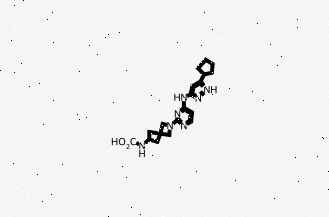 O=C(O)NC1CC2(C1)CN(c1nccc(Nc3cc(C4CCCC4)[nH]n3)n1)C2